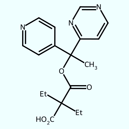 CCC(CC)(C(=O)O)C(=O)OC(C)(c1ccncc1)c1ccncn1